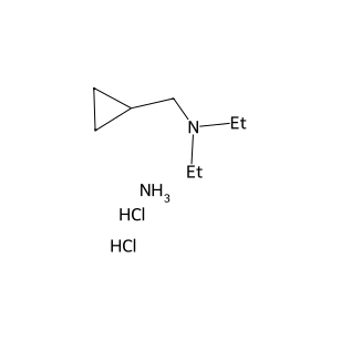 CCN(CC)CC1CC1.Cl.Cl.N